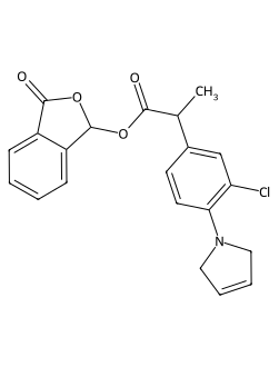 CC(C(=O)OC1OC(=O)c2ccccc21)c1ccc(N2CC=CC2)c(Cl)c1